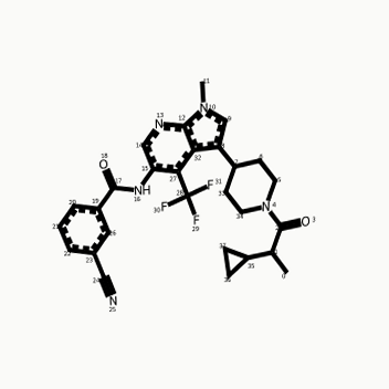 CC(C(=O)N1CCC(c2cn(C)c3ncc(NC(=O)c4cccc(C#N)c4)c(C(F)(F)F)c23)CC1)C1CC1